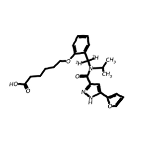 [2H]C([2H])(c1ccccc1OCCCCCC(=O)O)N(C(=O)c1cc(-c2ccco2)[nH]n1)C(C)C